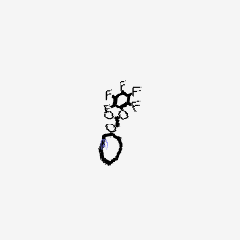 O=C(COC1/C=C\CCCCC1)OC1=C(F)C(F)C(F)C(F)=C1F